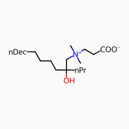 CCCCCCCCCCCCCCC(O)(CCC)C[N+](C)(C)CCC(=O)[O-]